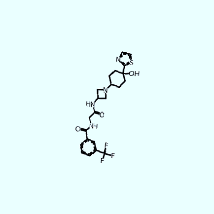 O=C(CNC(=O)c1cccc(C(F)(F)F)c1)NC1CN(C2CCC(O)(c3nccs3)CC2)C1